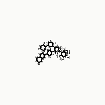 [2H]c1c([2H])c([2H])c(-c2ncc(-c3cccc(-c4cccnc4)c3)c(-c3ccc(-c4ccc5ccccc5c4)cc3)n2)c([2H])c1[2H]